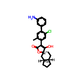 Cc1cc(-c2cccc(N)c2)c(Cl)cc1C1=C(O)[C@]2(CC[C@@H]3CCC[C@@H]3C2)OC1=O